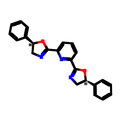 c1ccc([C@@H]2CN=C(c3cccc(C4=NC[C@@H](c5ccccc5)O4)n3)O2)cc1